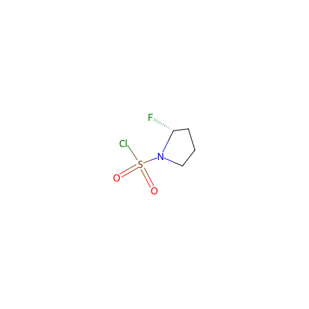 O=S(=O)(Cl)N1CCC[C@H]1F